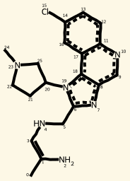 C/C(N)=C/NCc1nc2cnc3ccc(Cl)cc3c2n1C1CCN(C)C1